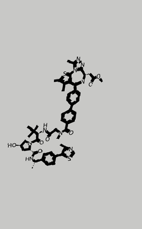 COC(=O)C[C@@H]1N=C(c2ccc(-c3ccc(C(=O)N(C)CC(=O)N[C@H](C(=O)N4C[C@H](O)C[C@H]4C(=O)N[C@@H](C)c4ccc(-c5scnc5C)cc4)C(C)(C)C)cc3)cc2)c2c(sc(C)c2C)-n2c(C)nnc21